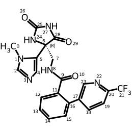 Cn1cncc1[C@@]1(CNC(=O)c2ccccc2-c2ccc(C(F)(F)F)nc2)NC(=O)NC1=O